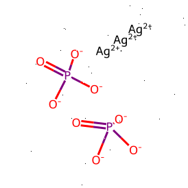 O=P([O-])([O-])[O-].O=P([O-])([O-])[O-].[Ag+2].[Ag+2].[Ag+2]